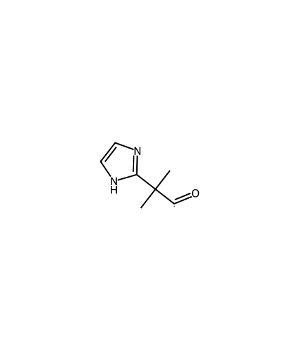 CC(C)([C]=O)c1ncc[nH]1